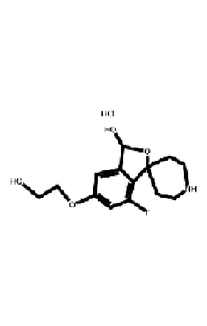 Cl.OCCOc1cc(F)c2c(c1)C(O)OC21CCNCC1